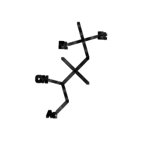 CCC(C)(CC)CC(C)(C)C(CC(C)=O)N=O